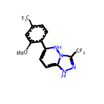 COc1cc(C(F)(F)F)ccc1C1=CC=C2NN=C(C(F)(F)F)N2N1